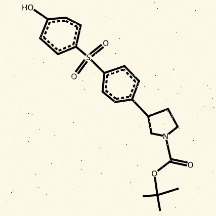 CC(C)(C)OC(=O)N1CCC(c2ccc(S(=O)(=O)c3ccc(O)cc3)cc2)C1